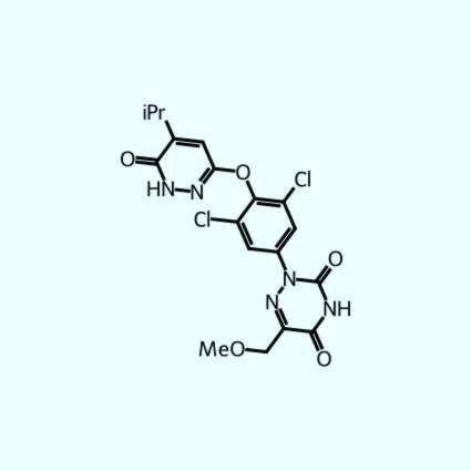 COCc1nn(-c2cc(Cl)c(Oc3cc(C(C)C)c(=O)[nH]n3)c(Cl)c2)c(=O)[nH]c1=O